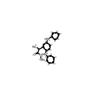 CC(C)(C)OC(=O)C(C#N)c1cc(Nc2ccccc2)ccc1Nc1ccccc1